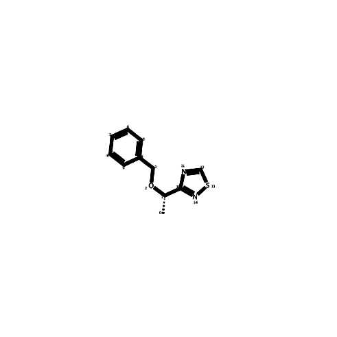 C[C@H](OCc1ccccc1)c1ncsn1